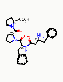 N[C@H](CC(=O)N[C@@H](Cc1ccccc1)C(=O)N1CCC[C@@H]1C(=O)N1CCC[C@H]1C(=O)O)Cc1ccccc1